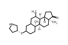 CC1CC2CC(S[C@@H]3CCNC3)CC[C@]2(C)[C@@H]2CC[C@]3(C)C(=O)CC[C@H]3[C@H]12